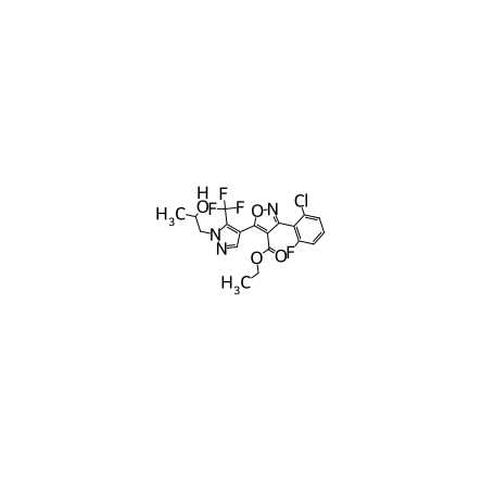 CCOC(=O)c1c(-c2c(F)cccc2Cl)noc1-c1cnn(CC(C)O)c1C(F)(F)F